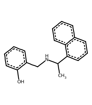 CC(NCc1ccccc1O)c1cccc2ccccc12